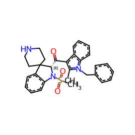 Cc1c(C(=O)[C@@H]2N(S(C)(=O)=O)c3ccccc3C23CCNCC3)c2ccccc2n1Cc1ccccc1